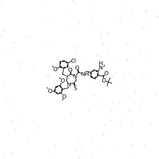 COc1cc(OC)c(CN2C[C@@H](Cc3cc(Cl)ccc3OC)C(=O)N(C(=O)NCc3ccc(C(=O)OC(C)(C)C)c(N)c3)CC2=S)c(OC)c1